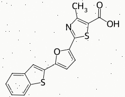 Cc1nc(-c2ccc(-c3cc4ccccc4s3)o2)sc1C(=O)O